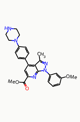 COC(=O)c1cc(-c2ccc(N3CCNCC3)cc2)c2c(C)nn(-c3cccc(OC)c3)c2n1